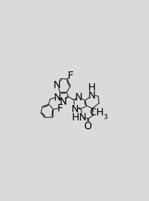 CC12CCNc3nc(-c4nn(Cc5ccccc5F)c5ncc(F)cc45)nc(c31)NC(=O)C2